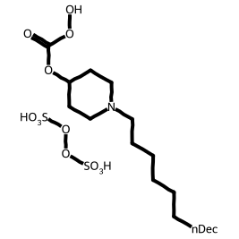 CCCCCCCCCCCCCCCCN1CCC(OC(=O)OO)CC1.O=S(=O)(O)OOS(=O)(=O)O